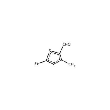 CCc1cc(C)c(C=O)s1